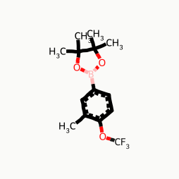 Cc1cc(B2OC(C)(C)C(C)(C)O2)ccc1OC(F)(F)F